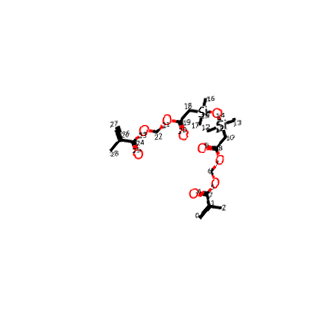 C=C(C)C(=O)OCOC(=O)C[Si](C)(C)O[Si](C)(C)CC(=O)OCOC(=O)C(=C)C